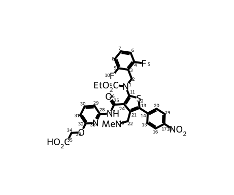 CCOC(=O)N(Cc1c(F)cccc1F)c1sc(-c2ccc([N+](=O)[O-])cc2)c(CNC)c1C(=O)Nc1cccc(OCC(=O)O)n1